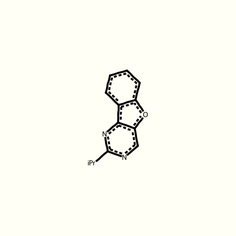 CC(C)c1ncc2oc3ccccc3c2n1